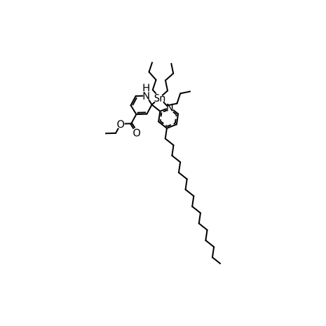 CCCCCCCCCCCCCCCCc1ccnc([C]2([Sn]([CH2]CCC)([CH2]CCC)[CH2]CCC)C=C(C(=O)OCC)C=CN2)c1